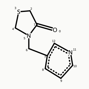 O=C1CSCN1Cc1cccnc1